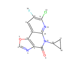 O=c1c2ncoc2c2cc(F)c(Cl)nc2n1C1CC1